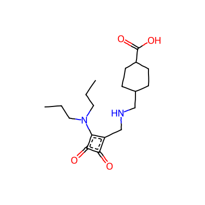 CCCN(CCC)c1c(CNCC2CCC(C(=O)O)CC2)c(=O)c1=O